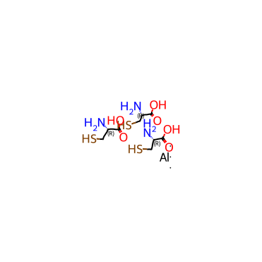 N[C@@H](CS)C(=O)O.N[C@@H](CS)C(=O)O.N[C@@H](CS)C(=O)O.[Al]